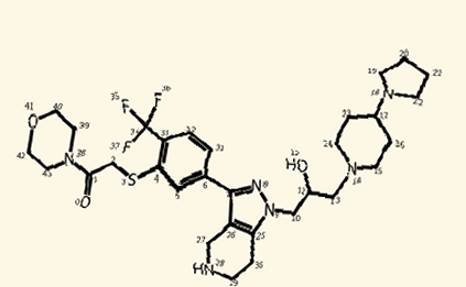 O=C(CSc1cc(-c2nn(CC(O)CN3CCC(N4CCCC4)CC3)c3c2CNCC3)ccc1C(F)(F)F)N1CCOCC1